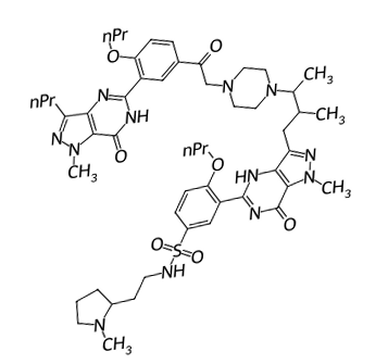 CCCOc1ccc(C(=O)CN2CCN(C(C)C(C)Cc3nn(C)c4c(=O)nc(-c5cc(S(=O)(=O)NCCC6CCCN6C)ccc5OCCC)[nH]c34)CC2)cc1-c1nc2c(CCC)nn(C)c2c(=O)[nH]1